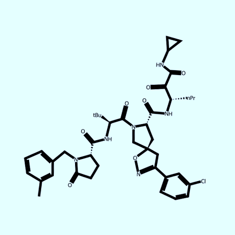 CCC[C@H](NC(=O)[C@@H]1C[C@]2(CC(c3cccc(Cl)c3)=NO2)CN1C(=O)[C@@H](NC(=O)[C@@H]1CCC(=O)N1Cc1cccc(C)c1)C(C)(C)C)C(=O)C(=O)NC1CC1